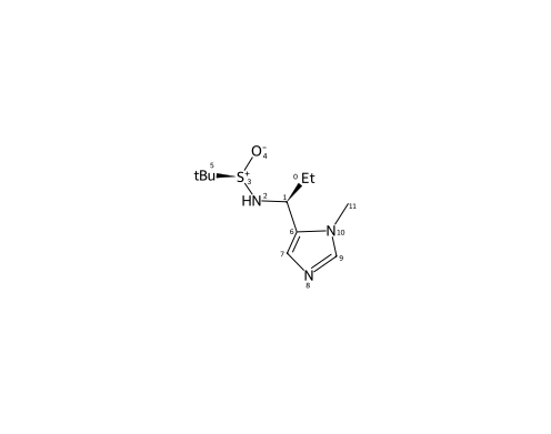 CC[C@H](N[S@+]([O-])C(C)(C)C)c1cncn1C